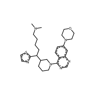 CN(C)CCCCC(c1nccs1)C1CCCN(c2ncnc3cc(N4CCOCC4)ccc23)C1